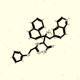 NC(=O)C(NC(=O)COc1ccccc1)C(N)(Cc1ccc2cnccc2c1)c1cccc2ccccc12